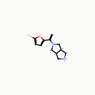 C=C(c1ccc(F)o1)N1CC2CNCC2C1